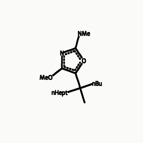 CCCCCCCC(C)(CCCC)c1oc(NC)nc1OC